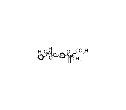 C[C@H](CCC(=O)O)NC(=O)c1cc[n+](COC(=O)N[C@@H](C)Cc2ccccc2)cc1